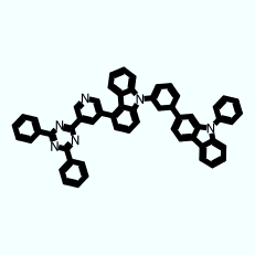 C1=CC(c2ccc3c4ccccc4n(-c4ccccc4)c3c2)CC(n2c3ccccc3c3c(-c4cncc(-c5nc(-c6ccccc6)nc(-c6ccccc6)n5)c4)cccc32)=C1